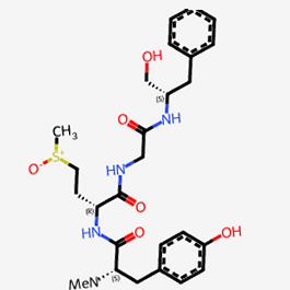 CN[C@@H](Cc1ccc(O)cc1)C(=O)N[C@H](CC[S+](C)[O-])C(=O)NCC(=O)N[C@H](CO)Cc1ccccc1